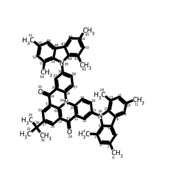 Cc1cc(C)c2c(c1)c1cc(C)cc(C)c1n2-c1ccc2c(c1)c(=O)c1cc(C(C)(C)C)cc3c(=O)c4cc(-n5c6c(C)cc(C)cc6c6cc(C)cc(C)c65)ccc4n2c13